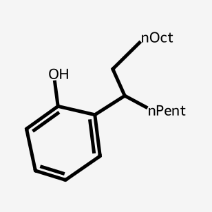 CCCCCCCCCC(CCCCC)c1ccccc1O